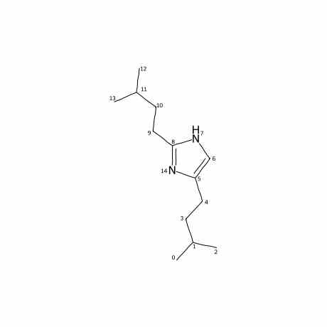 CC(C)CCc1c[nH]c(CCC(C)C)n1